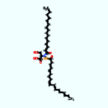 CCCCCCCC/C=C\CCCCCCCC(=O)PN(C(=O)CCCCCCCCCCCCCCC)C(CO)C(=O)O